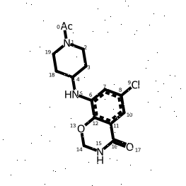 CC(=O)N1CCC(Nc2cc(Cl)cc3c2OCNC3=O)CC1